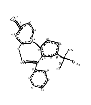 O=c1ccn2c(n1)CN=C(c1ccccc1)c1cc(C(F)(F)F)ccc1-2